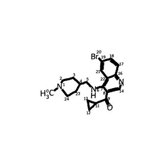 CN1CCC(CNc2c(C(=O)C3CC3)cnc3ccc(Br)cc23)CC1